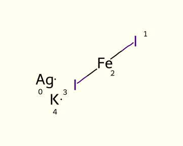 [Ag].[I][Fe][I].[K]